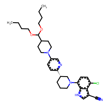 CCCCOC(OCCCC)C1CCN(c2ccc([C@H]3CCCN(c4ccc(Cl)c5c(C#N)c[nH]c45)C3)nc2)CC1